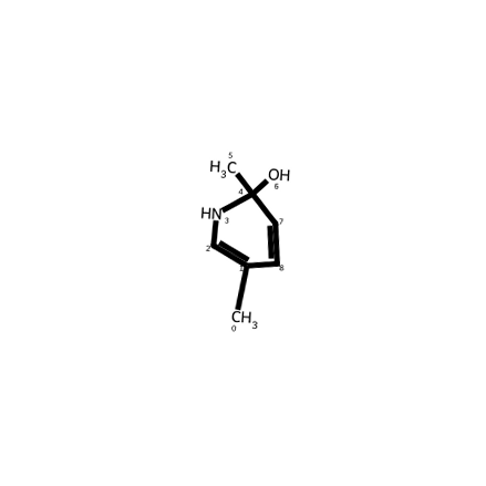 CC1=CNC(C)(O)C=C1